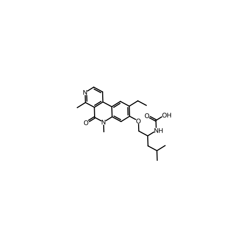 CCc1cc2c3ccnc(C)c3c(=O)n(C)c2cc1OCC(CC(C)C)NC(=O)O